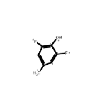 [CH2]c1cc(F)c(O)c(F)c1